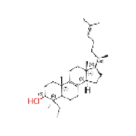 CC[C@]1(C)C2CCC3=C(CC[C@]4(C)[C@@H]([C@H](C)CCC=C(C)C)CC[C@@H]34)[C@@]2(C)CC[C@@H]1O